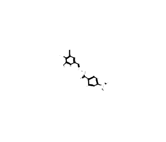 Cc1cc(C=NNC(=O)c2ccc([N+](=O)[O-])cc2)cc(C)c1O